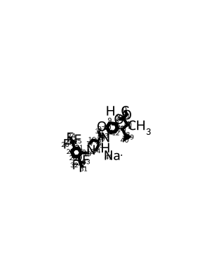 COC(=O)[C@@H](C)[C@H](c1ccc2c(c1)N[C@@H](C1CCN(Cc3cc(C(F)(F)F)ccc3C(F)(F)F)CC1)CO2)C1CC1.[Na]